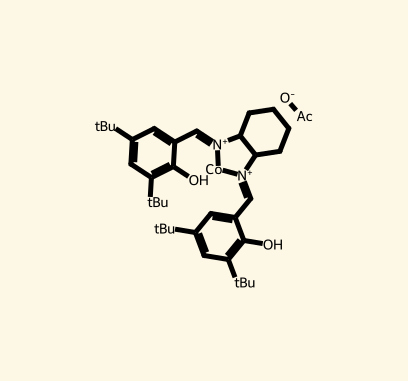 CC(=O)[O-].CC(C)(C)c1cc(C=[N+]2[Co][N+](=Cc3cc(C(C)(C)C)cc(C(C)(C)C)c3O)C3CCCCC32)c(O)c(C(C)(C)C)c1